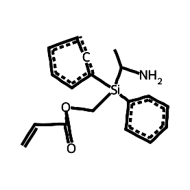 C=CC(=O)OC[Si](c1ccccc1)(c1ccccc1)C(C)N